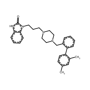 Cc1ccc(-c2ccccc2CN2CCN(CCCn3c(=O)[nH]c4ccccc43)CC2)c(C)c1